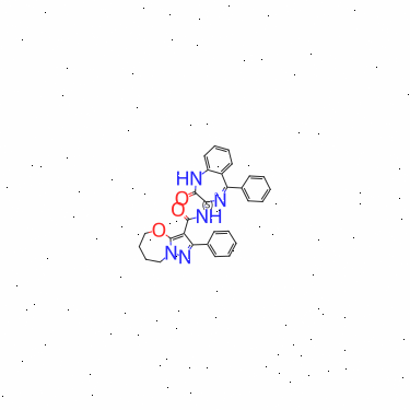 O=C(N[C@H]1N=C(c2ccccc2)c2ccccc2NC1=O)c1c(-c2ccccc2)nn2c1OCCCC2